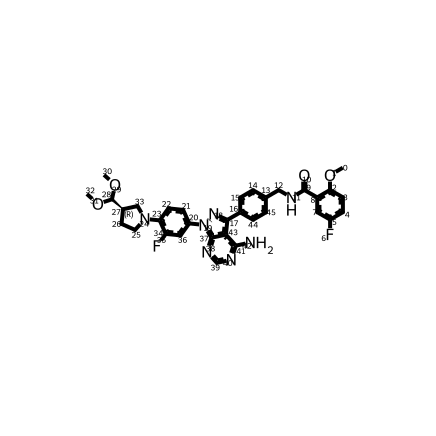 COc1ccc(F)cc1C(=O)NCc1ccc(-c2nn(-c3ccc(N4CC[C@@H](C(OC)OC)C4)c(F)c3)c3ncnc(N)c23)cc1